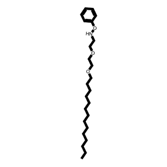 CCCCCCCCCCCCCCOCCOCCNOc1ccccc1